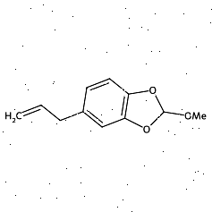 C=CCc1ccc2c(c1)OC(OC)O2